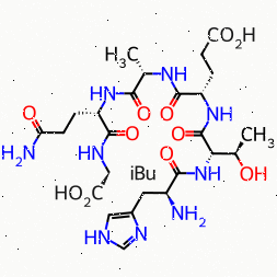 CC[C@H](C)[C@H](NC(=O)[C@H](CCC(N)=O)NC(=O)[C@H](C)NC(=O)[C@H](CCC(=O)O)NC(=O)[C@@H](NC(=O)[C@@H](N)Cc1c[nH]cn1)[C@@H](C)O)C(=O)O